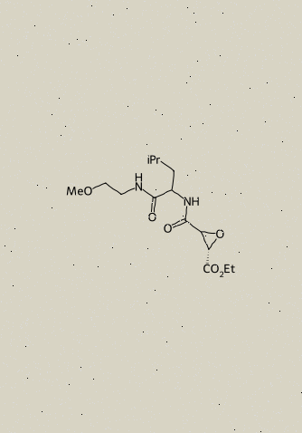 CCOC(=O)[C@H]1OC1C(=O)NC(CC(C)C)C(=O)NCCOC